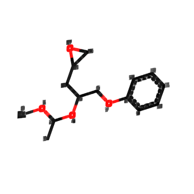 CCOC(C)OC(COc1ccccc1)CC1CO1